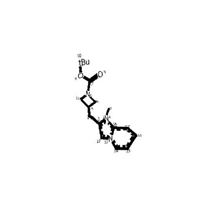 C[n+]1c(CC2CN(C(=O)OC(C)(C)C)C2)cn2ccccc21